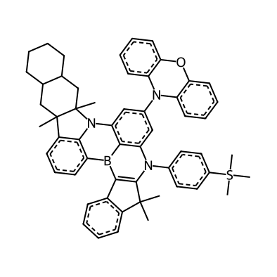 CC1(C)C2=C(B3c4cccc5c4N(c4cc(N6c7ccccc7Oc7ccccc76)cc(c43)N2c2ccc(S(C)(C)C)cc2)C2(C)CC3CCCCC3CC52C)c2ccccc21